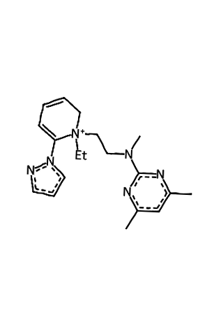 CC[N+]1(CCN(C)c2nc(C)cc(C)n2)CC=CC=C1n1cccn1